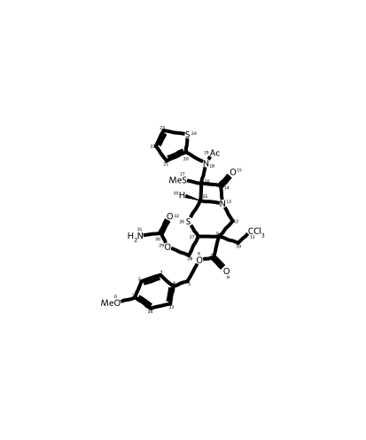 COc1ccc(COC(=O)C2(CC(Cl)(Cl)Cl)CN3C(=O)C(SC)(N(C(C)=O)c4cccs4)[C@H]3SC2COC(N)=O)cc1